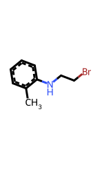 Cc1ccccc1NCCBr